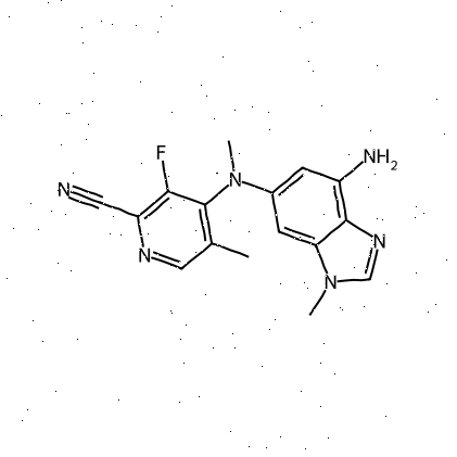 Cc1cnc(C#N)c(F)c1N(C)c1cc(N)c2ncn(C)c2c1